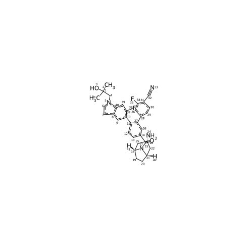 CC(C)(O)Cn1ccc2cc(-c3ccc(C(=O)N4[C@@H]5CC[C@H]4C[C@@H](N)C5)cc3-c3ccc(C#N)c(F)c3)c(F)cc21